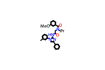 COc1cccc(C(=O)N(CC(=O)Nc2nc(-c3ccccc3)cn2-c2cccc(C)c2)C(C)C)c1